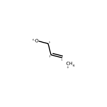 C.C=CC[O]